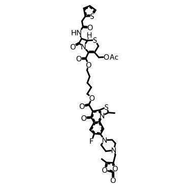 CC(=O)OCC1=C(C(=O)OCCCCCOC(=O)c2c3n(c4cc(N5CCN(Cc6oc(=O)oc6C)CC5)c(F)cc4c2=O)C(C)S3)N2C(=O)[C@@H](NC(=O)Cc3cccs3)[C@H]2SC1